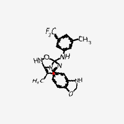 CC1=C2NOC(Nc3cc(C)cc(C(F)(F)F)c3)(N=C1)N2c1ccc2c(c1)NCO2